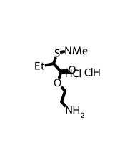 CCC(SNC)C(=O)OCCN.Cl.Cl